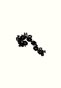 CNC(=O)c1ccccc1Nc1cc(Nc2ccc(N3CCN(Cc4cccc(N5CCC(=O)NC5=O)c4)CC3)cc2OC)ncc1C(F)(F)F